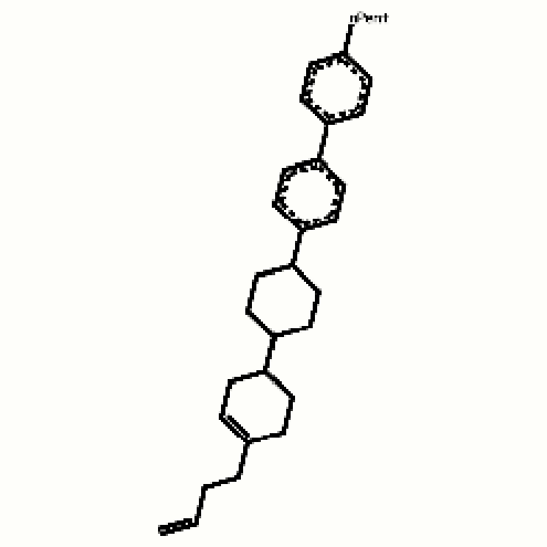 C=CCCC1=CCC(C2CCC(c3ccc(-c4ccc(CCCCC)cc4)cc3)CC2)CC1